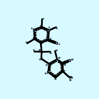 Cc1nc(C)n(C)c(=O)c1C(C)(C)Cc1ncc(C(C)C)c(=O)n1C